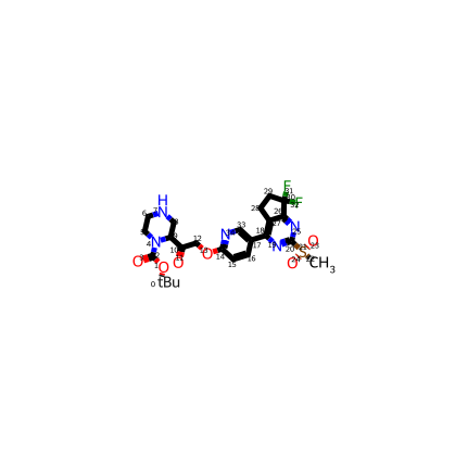 CC(C)(C)OC(=O)N1CCNCC1C(=O)COc1ccc(-c2nc(S(C)(=O)=O)nc3c2CCC3(F)F)cn1